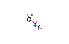 CC(C)C(C)NC(=O)COc1cccc(C=O)c1